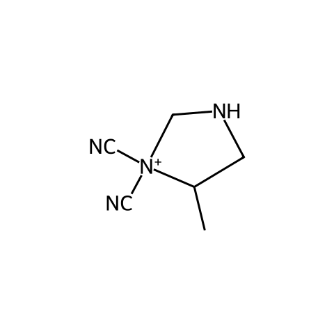 CC1CNC[N+]1(C#N)C#N